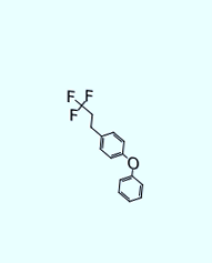 FC(F)(F)CCc1ccc(Oc2ccccc2)cc1